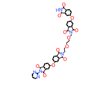 O=C1NC(=O)c2cc(Oc3ccc4c(c3)C(=O)N(COCCOCCN3C(=O)c5ccc(Oc6ccc7c(c6)C(=O)N(c6ncccn6)C7=O)cc5C3=O)C4=O)ccc21